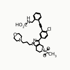 CS(=O)(=O)N1CCc2c(c(-c3ccc(Cl)c(C#Cc4ccccc4CNC(=O)O)c3)nn2CCCN2CCOCC2)C1